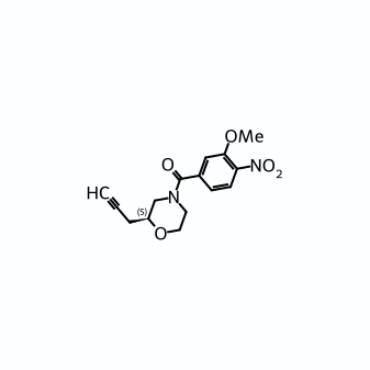 C#CC[C@H]1CN(C(=O)c2ccc([N+](=O)[O-])c(OC)c2)CCO1